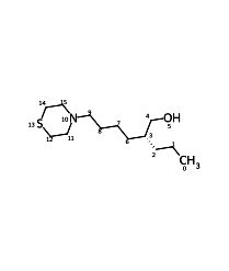 CCC[C@@H](CO)CCCCN1CCSCC1